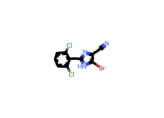 N#Cc1nc(-c2c(Cl)cccc2Cl)[nH]c1Br